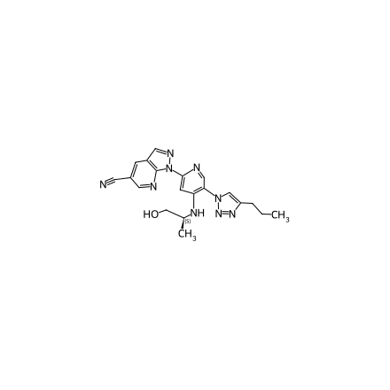 CCCc1cn(-c2cnc(-n3ncc4cc(C#N)cnc43)cc2N[C@@H](C)CO)nn1